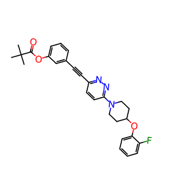 CC(C)(C)C(=O)Oc1cccc(C#Cc2ccc(N3CCC(Oc4ccccc4F)CC3)nn2)c1